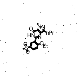 CCCc1nn(C)c2c(=O)[nH]c(-c3cc(S(C)(=O)=O)ccc3OCC)nc12